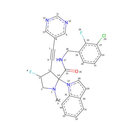 CC(=O)N1CC(F)C(C#Cc2cncnc2)C1(C(=O)NCc1cccc(Cl)c1F)n1ccc2ccccc21